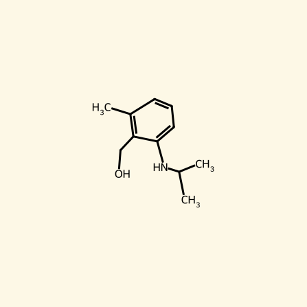 Cc1cccc(NC(C)C)c1CO